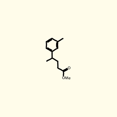 COC(=O)CCC(C)c1cccc(C)c1